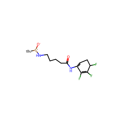 CC(C)(C)[S+]([O-])NCCCCC(=O)NC1=CCC(F)C(F)=C1F